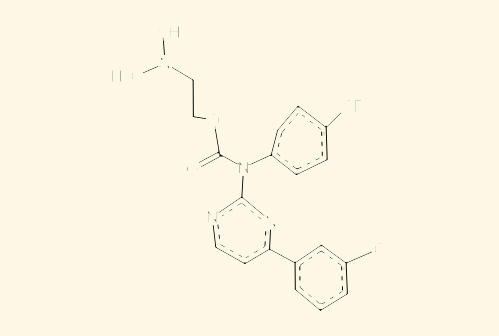 CN(C)CCOC(=O)N(c1ccc(C(F)(F)F)cc1)c1nccc(-c2cccc(Cl)c2)n1